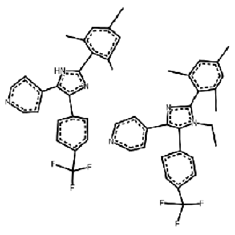 CCn1c(-c2c(C)cc(C)cc2C)nc(-c2ccncc2)c1-c1ccc(C(F)(F)F)cc1.Cc1cc(C)c(-c2nc(-c3ccc(C(F)(F)F)cc3)c(-c3ccncc3)[nH]2)c(C)c1